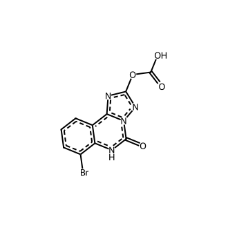 O=C(O)Oc1nc2c3cccc(Br)c3[nH]c(=O)n2n1